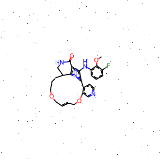 COc1c(F)cccc1Nc1c2[nH]c3c1C(=O)NCC3CCCOC/C=C/COc1cnccc1-2